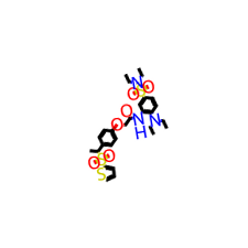 CCN(CC)c1ccc(S(=O)(=O)N(CC)CC)cc1NC(=O)COc1ccc(C(C)S(=O)(=O)c2cccs2)cc1